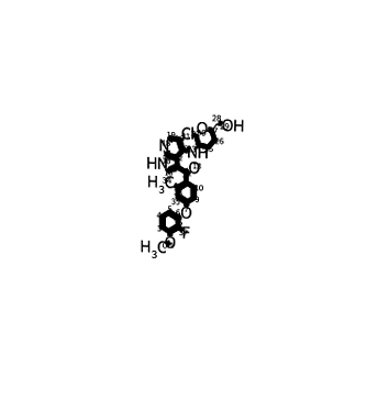 COc1cccc(Oc2ccc(C(=O)c3c[nH]c4ncc(Cl)c(N[C@@H]5CC[C@@H](CO)OC5)c34)c(C)c2)c1F